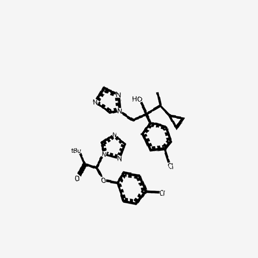 CC(C)(C)C(=O)C(Oc1ccc(Cl)cc1)n1cncn1.CC(C1CC1)C(O)(Cn1cncn1)c1ccc(Cl)cc1